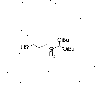 CC(C)COC(OCC(C)C)[SiH2]CCCS